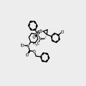 CCN(C(=O)OCc1ccccc1)C1CCN(C[C@@H]2C[C@@]2(CN(C)S(=O)(=O)c2ccccc2)c2cccc(Cl)c2)CC1